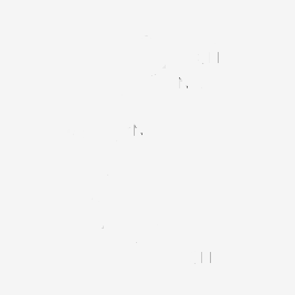 CCc1cccc(C(=O)N2CCN(C)C(=O)C2)c1